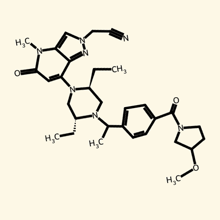 CC[C@H]1CN(C(C)c2ccc(C(=O)N3CCC(OC)C3)cc2)[C@H](CC)CN1c1cc(=O)n(C)c2cn(CC#N)nc12